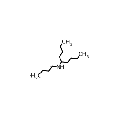 [CH2]CC[CH]NC(CCCC)CCCC